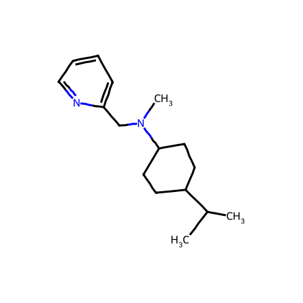 CC(C)C1CCC(N(C)Cc2ccccn2)CC1